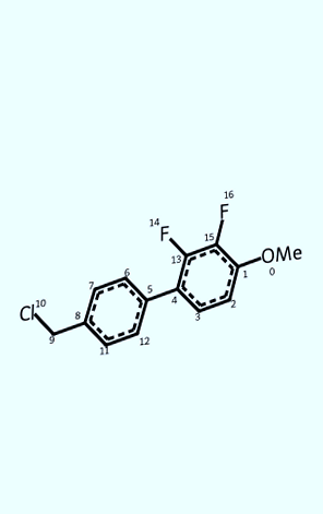 COc1ccc(-c2ccc(CCl)cc2)c(F)c1F